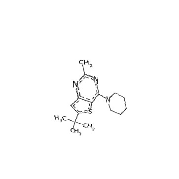 Cc1nc(N2CCCCC2)c2sc(C(C)(C)C)cc2n1